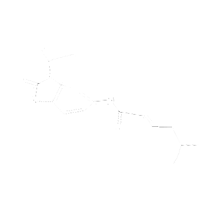 CC(C)C/C=C/C(=O)Nc1ccc2[nH]c(=O)n(C(C)C)c2c1